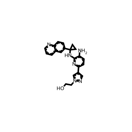 Nc1ccc(-c2cnn(CCO)c2)nc1NC1(c2ccc3ncccc3c2)CC1